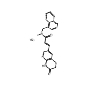 CN(Cc1cccc2ncccc12)C(=O)C=Cc1cnc2c(c1)CCC(=O)N2.Cl